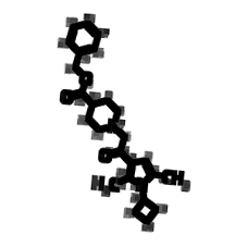 Cc1cc(C(=O)CN2CCC(C(=O)OCc3ccccc3)CC2)c(C)n1C1CCC1